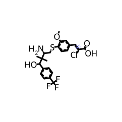 COc1cc(/C=C(\Cl)C(=O)O)ccc1SCC(N)C(C)(C)C(O)c1ccc(C(F)(F)F)cc1